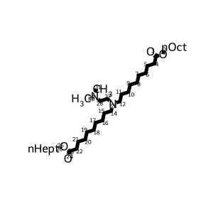 CCCCCCCCOC(=O)CCCCCCCCCN(CCCCCCCCCC(=O)OCCCCCCC)CCN(C)C